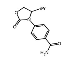 CC(C)C1COC(=O)N1c1ccc(C(N)=O)cc1